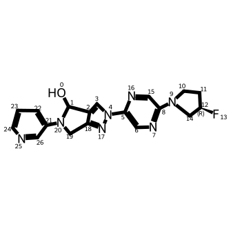 OC1c2cn(-c3cnc(N4CC[C@@H](F)C4)cn3)nc2CN1c1cccnc1